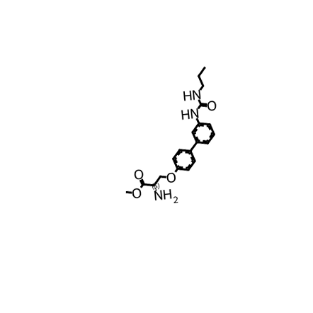 CCCNC(=O)Nc1cccc(-c2ccc(OC[C@H](N)C(=O)OC)cc2)c1